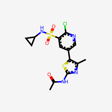 CC(=O)Nc1nc(C)c(-c2cnc(Cl)c(S(=O)(=O)NC3CC3)c2)s1